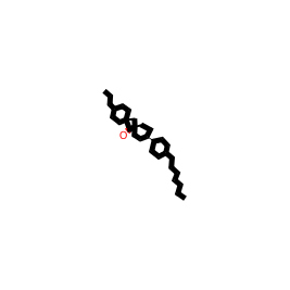 CCCCCCCC1CCC([C@H]2CC[C@]3(CC2)C[C@@]2(CCC(CCC)CC2)C3=O)CC1